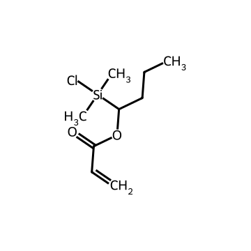 C=CC(=O)OC(CCC)[Si](C)(C)Cl